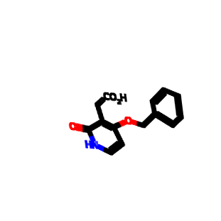 O=C(O)Cc1c(OCc2ccccc2)cc[nH]c1=O